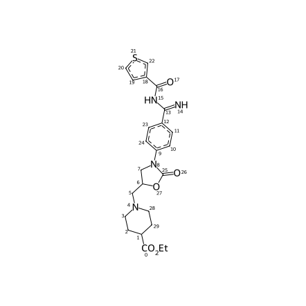 CCOC(=O)C1CCN(CC2CN(c3ccc(C(=N)NC(=O)c4ccsc4)cc3)C(=O)O2)CC1